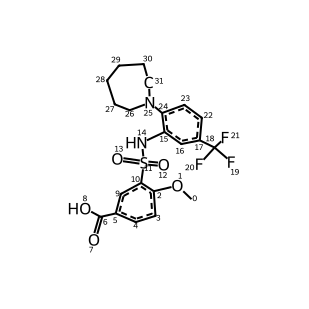 COc1ccc(C(=O)O)cc1S(=O)(=O)Nc1cc(C(F)(F)F)ccc1N1CCCCCC1